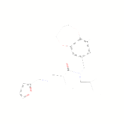 CC(C)CN(Cc1cc(Cl)c2c(c1)OCCCO2)C(=O)C(C)CNCc1ccco1